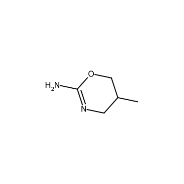 CC1CN=C(N)OC1